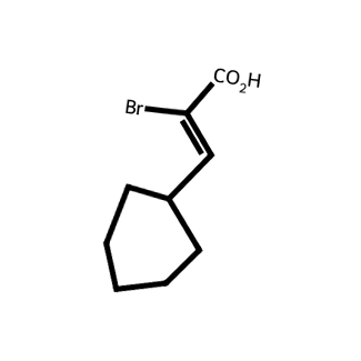 O=C(O)/C(Br)=C/C1CCCCC1